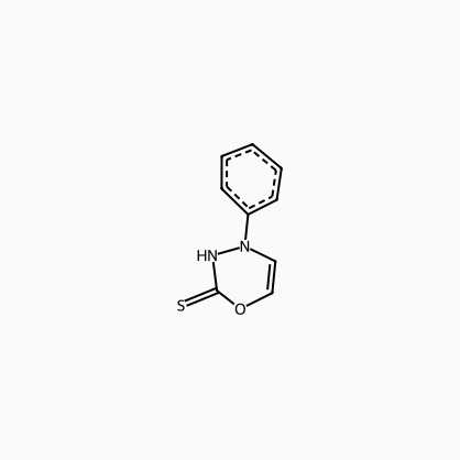 S=C1NN(c2ccccc2)C=CO1